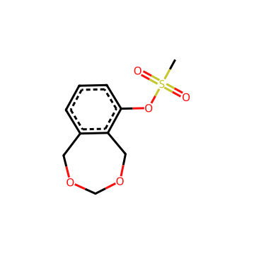 CS(=O)(=O)Oc1cccc2c1COCOC2